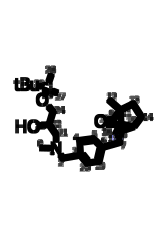 CN(Cc1ccc(/C=C2\C(=O)C3(C)CCC2C3(C)C)cc1)CC(O)CO[Si](C)(C)C(C)(C)C